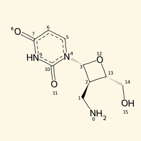 NC[C@H]1[C@H](n2ccc(=O)[nH]c2=O)O[C@@H]1CO